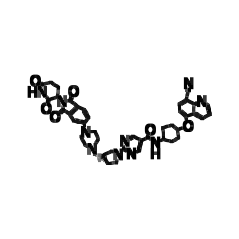 N#Cc1ccc(OC2CCC(NC(=O)c3cnc(N4CC[C@H](CN5CCN(c6ccc7c(c6)C(=O)N(C6CCC(=O)NC6=O)C7=O)CC5)C4)nc3)CC2)c2cccnc12